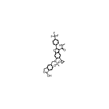 CNC(=O)c1c(-c2ccc(C(F)(F)F)cc2)oc2cc(N(Cc3ccc4c(c3)COB4O)S(C)(=O)=O)c(C3CC3)cc12